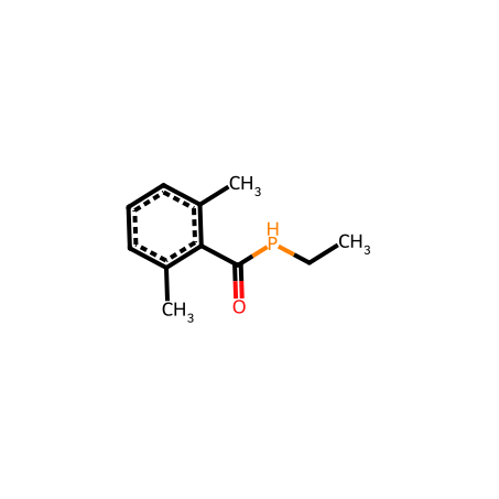 CCPC(=O)c1c(C)cccc1C